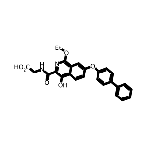 CCOc1nc(C(=O)NCC(=O)O)c(O)c2ccc(Oc3ccc(-c4ccccc4)cc3)cc12